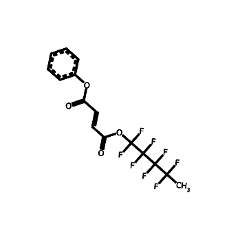 CC(F)(F)C(F)(F)C(F)(F)C(F)(F)OC(=O)/C=C/C(=O)Oc1ccccc1